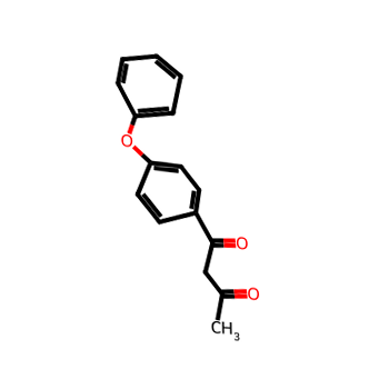 CC(=O)CC(=O)c1ccc(Oc2ccccc2)cc1